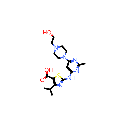 Cc1nc(Nc2nc(C(C)C)c(C(=O)O)s2)cc(N2CCN(CCO)CC2)n1